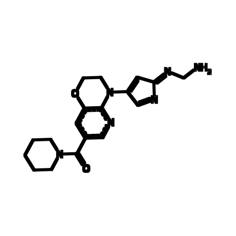 NC/N=C1/C=C(N2CCOc3cc(C(=O)N4CCCCC4)cnc32)C=N1